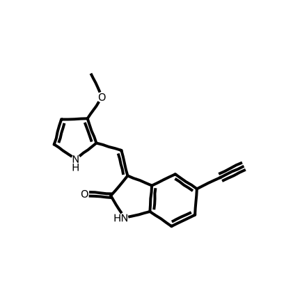 C#Cc1ccc2c(c1)C(=Cc1[nH]ccc1OC)C(=O)N2